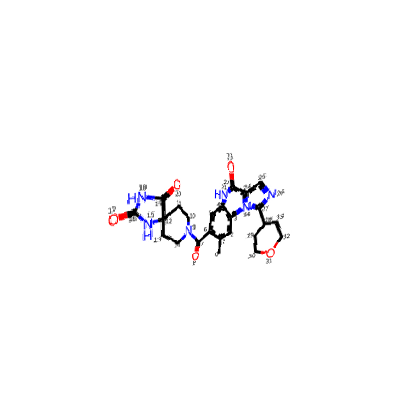 Cc1cc2c(cc1C(=O)N1CCC3(CC1)NC(=O)NC3=O)[nH]c(=O)c1cnc(C3CCOCC3)n12